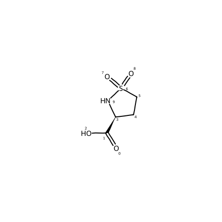 O=C(O)[C@@H]1CCS(=O)(=O)N1